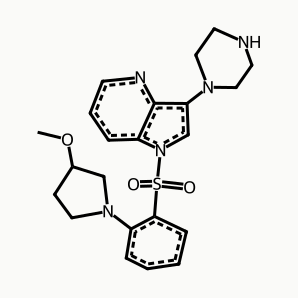 COC1CCN(c2ccccc2S(=O)(=O)n2cc(N3CCNCC3)c3ncccc32)C1